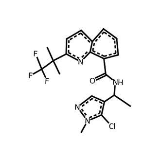 CC(NC(=O)c1cccc2ccc(C(C)(C)C(F)(F)F)nc12)c1cnn(C)c1Cl